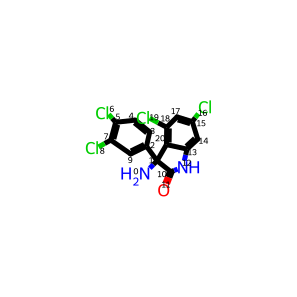 NC1(c2ccc(Cl)c(Cl)c2)C(=O)Nc2cc(Cl)cc(Cl)c21